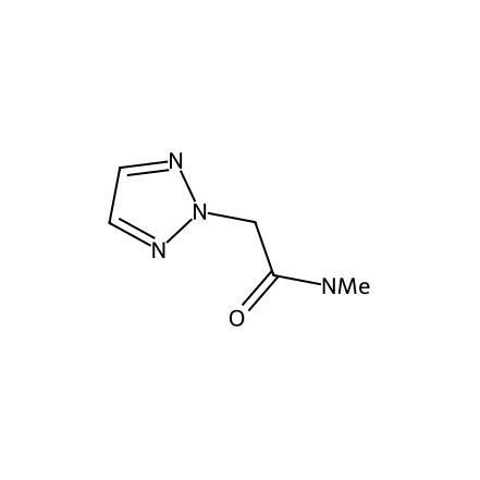 CNC(=O)Cn1nccn1